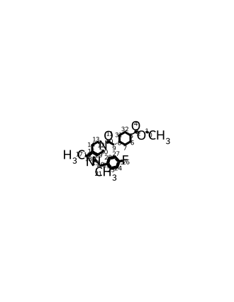 CCOC(=O)[C@H]1CC[C@H](CC(=O)N2CCc3c(C)nn(C(C)c4ccc(F)cc4)c3C2)CC1